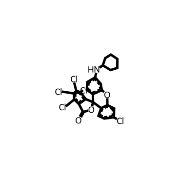 O=C1OC2(c3ccc(Cl)cc3Oc3cc(NC4CCCCC4)ccc32)c2c(Cl)c(Cl)c(Cl)c(Cl)c21